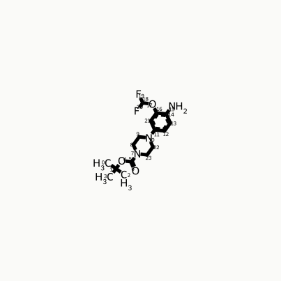 CC(C)(C)OC(=O)N1CCN(c2ccc(N)c(OC(F)F)c2)CC1